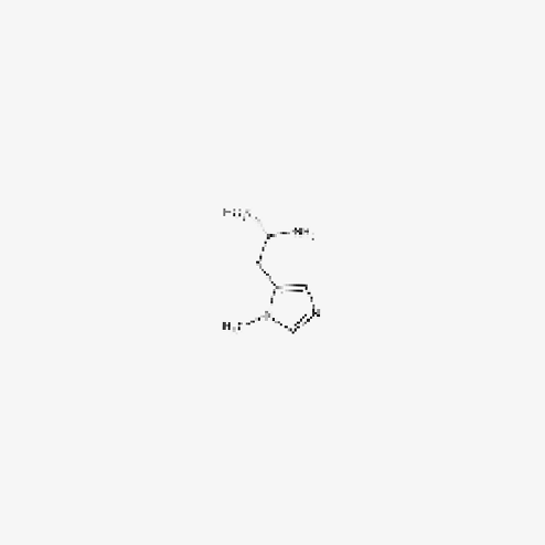 Cn1cncc1C[C@@H](N)C(=O)O